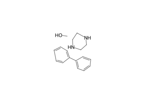 C1CNCCN1.CO.c1ccc(-c2ccccc2)cc1